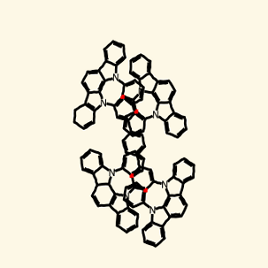 C1=Cc2c(c3ccc4c5ccccc5n(-c5ccccc5)c4c3n2-c2cc(-c3ccc(-c4cc(-n5c6c(c7ccccc75)C=CC5c7ccccc7N(c7ccccc7)C65)cc(-n5c6ccccc6c6ccc7c8ccccc8n(-c8ccccc8)c7c65)c4)cc3)cc(-n3c4ccccc4c4ccc5c6ccccc6n(-c6ccccc6)c5c43)c2)CC1